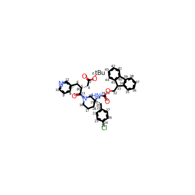 CC(C)(C)OC(=O)C[C@@H](Cc1cccnc1)C(=O)N1CCC[C@](Cc2ccc(Cl)cc2)(NC(=O)OCC2c3ccccc3-c3ccccc32)C1